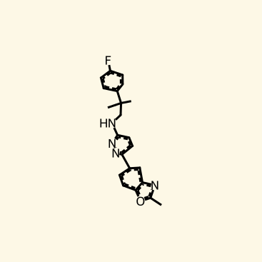 Cc1nc2cc(-c3ccc(NCC(C)(C)c4ccc(F)cc4)nn3)ccc2o1